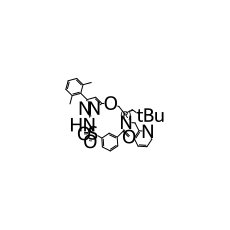 Cc1cccc(C)c1-c1cc2nc(n1)NS(=O)(=O)c1cccc(c1)C(=O)N(Cc1ccccn1)[C@H](CC(C)(C)C)CO2